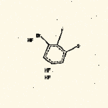 F.F.F.Fc1c([S])cccc1Br